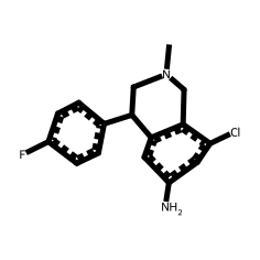 CN1Cc2c(Cl)cc(N)cc2C(c2ccc(F)cc2)C1